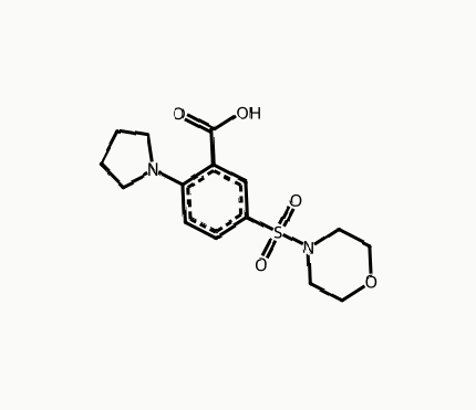 O=C(O)c1cc(S(=O)(=O)N2CCOCC2)ccc1N1CCCC1